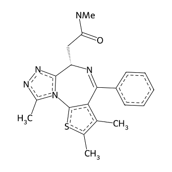 CNC(=O)C[C@@H]1N=C(c2ccccc2)c2c(sc(C)c2C)-n2c(C)nnc21